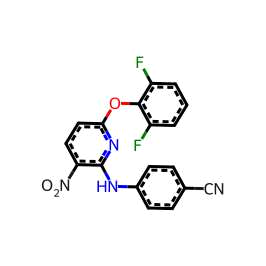 N#Cc1ccc(Nc2nc(Oc3c(F)cccc3F)ccc2[N+](=O)[O-])cc1